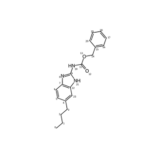 CCCCc1ccc2nc(NC(=O)OCc3ccccc3)[nH]c2c1